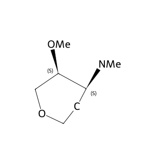 CN[C@H]1CCOC[C@H]1OC